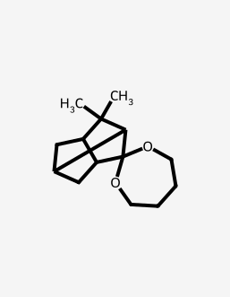 CC1(C)C2CC3CC2C2(OCCCCO2)C31